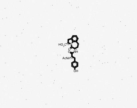 CC(=O)N[C@@H](Cc1ccc(O)cc1)C(=O)N[C@H]1CCc2cccc3c2N(C1=O)[C@H](C(=O)O)C3